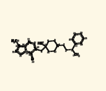 CC(CCN1CCC(O)(Cn2cnc3c(cnn3C)c2=O)CC1)c1ccccc1